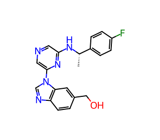 C[C@H](Nc1cncc(-n2cnc3ccc(CO)cc32)n1)c1ccc(F)cc1